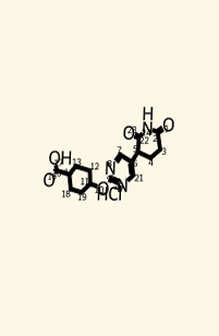 Cl.O=C1CCC(c2cnc(OC3CCC(C(=O)O)CC3)nc2)C(=O)N1